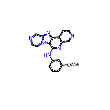 COc1cccc(Nc2nc3cnccc3c3nc4cnccn4c23)c1